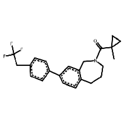 CC1(C(=O)N2CCCc3ccc(-c4ccc(CC(F)(F)F)cc4)cc3C2)CC1